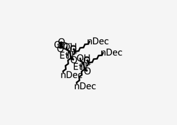 CCCCCCCCCCCCCCCC(=O)C[N+](CC)(CCO)C(=O)CCCCCCCCCCCCCCC.CCCCCCCCCCCCCCCC(=O)C[N+](CC)(CCO)C(=O)CCCCCCCCCCCCCCC.O=S(=O)([O-])[O-]